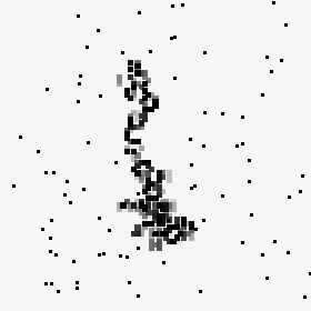 CCc1cc(Nc2ncc(Br)c(Nc3ccc4nccnc4c3PC)n2)c(OC)cc1N1CCC(N2CCN(CC3CCN(c4cccc(C5CCC(=O)NC5=O)c4)CC3)CC2)CC1